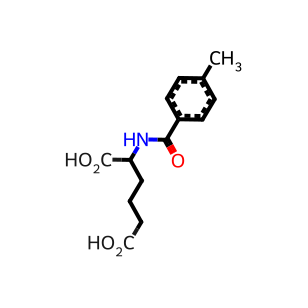 Cc1ccc(C(=O)NC(CCCC(=O)O)C(=O)O)cc1